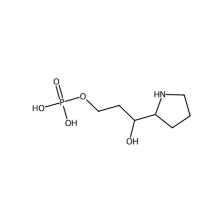 O=P(O)(O)OCCC(O)C1CCCN1